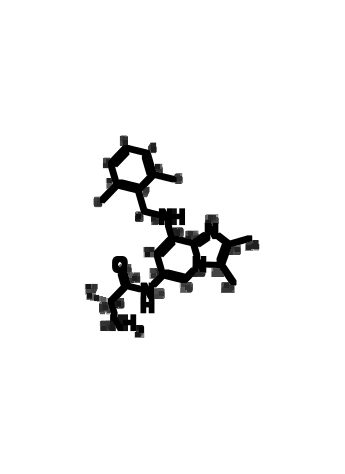 Cc1cccc(C)c1CNc1cc(NC(=O)[C@@H](C)N)cn2c(C)c(C)nc12